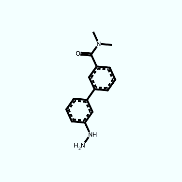 CN(C)C(=O)c1cccc(-c2cccc(NN)c2)c1